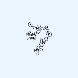 CC(C)n1cnc2cc(-c3ccc4c(c3)N([C@H]3C[C@@H](N5CCCCC5)C3)C(=O)C43CCN(C(=O)C4CCN(C(=O)[C@H]5CC[C@H](Cn6ncc7cc(C8CCC(=O)NC8=O)ccc76)CC5)CC4)CC3)nc(Nc3ccccc3F)c21